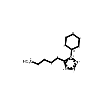 O=C(O)CCCCc1nnnn1C1CCCCC1